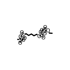 CCOS(=O)(=O)OS(=O)(=O)OCCCCCS(=O)(=O)OS(C)(=O)=O